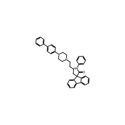 O=C(Nc1ccccc1)C1(CCCCN2CCN(c3ccc(-c4ccccc4)cc3)CC2)c2ccccc2-c2ccccc21